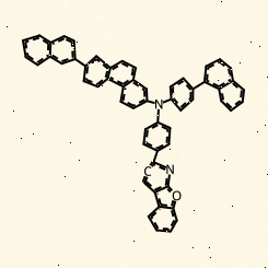 c1ccc2cc(-c3ccc4c(ccc5cc(N(c6ccc(-c7ccc8c(n7)oc7ccccc78)cc6)c6ccc(-c7cccc8ccccc78)cc6)ccc54)c3)ccc2c1